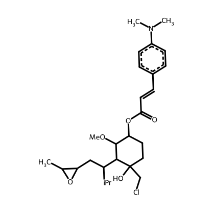 COC1C(OC(=O)C=Cc2ccc(N(C)C)cc2)CCC(O)(CCl)C1C(CC1OC1C)C(C)C